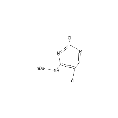 CCCCNc1nc(Cl)ncc1Cl